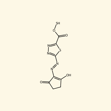 O=C1CCC(O)=C1N=Nc1nnc(C(=O)OS)s1